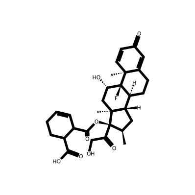 C[C@@H]1C[C@H]2[C@@H]3CCC4=CC(=O)C=C[C@]4(C)[C@@]3(F)[C@@H](O)C[C@]2(C)[C@@]1(OC(=O)C1C=CCCC1C(=O)O)C(=O)CO